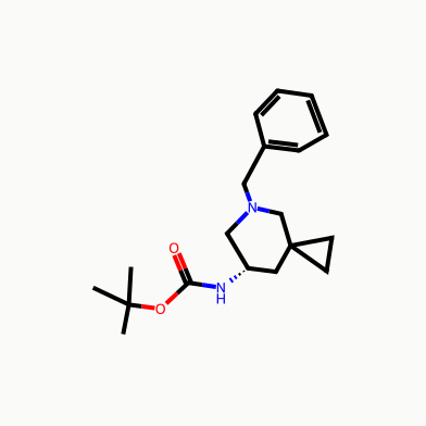 CC(C)(C)OC(=O)N[C@@H]1CN(Cc2ccccc2)CC2(CC2)C1